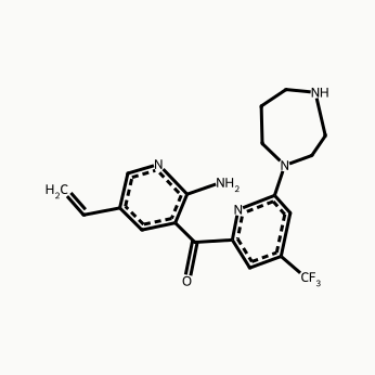 C=Cc1cnc(N)c(C(=O)c2cc(C(F)(F)F)cc(N3CCCNCC3)n2)c1